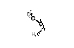 CCCCC/C(F)=C\c1ccc(C#Cc2ccc(OC(F)(F)F)cc2)c(F)c1